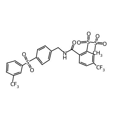 CS(=O)(=O)S(=O)(=O)c1cc(C(F)(F)F)ccc1C(=O)NCc1ccc(S(=O)(=O)c2cccc(C(F)(F)F)c2)cc1